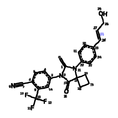 C=C1N(c2ccc(C#N)c(C(F)(F)F)c2)C(=O)C2(CCC2)N1c1ccc(/C=C/CO)cc1